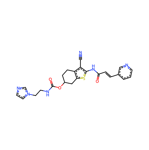 N#Cc1c(NC(=O)/C=C/c2cccnc2)sc2c1CCC(OC(=O)NCCn1ccnc1)C2